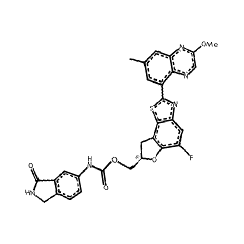 COc1cnc2c(-c3nc4cc(F)c5c(c4s3)C[C@H](COC(=O)Nc3ccc4c(c3)C(=O)NC4)O5)cc(C)cc2n1